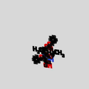 CCCCOC(=O)N[C@H](CC(=O)O)C(=NCC(C)(C)CCOC(=O)OCc1ccccc1)OCc1ccccc1